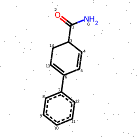 NC(=O)C1C=CC(c2ccccc2)=CC1